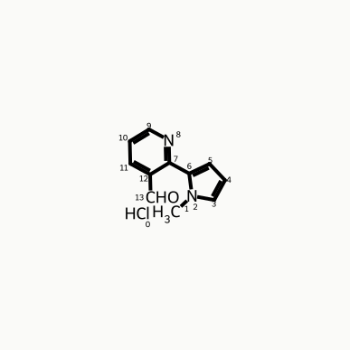 Cl.Cn1cccc1-c1ncccc1C=O